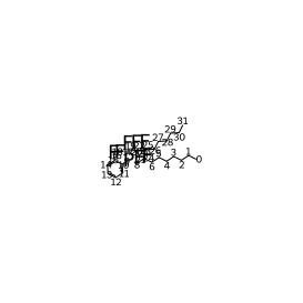 CCCCCCCCCP(c1ccccc1F)C(F)(F)C(F)(F)C(F)(F)CCCCCC